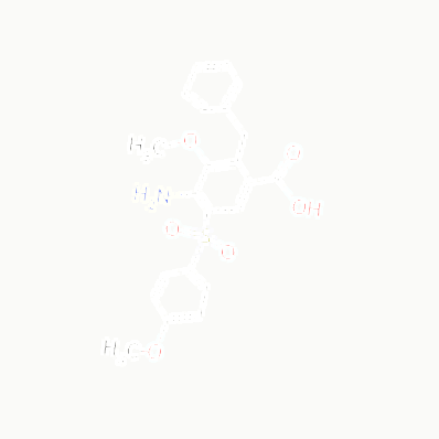 COc1ccc(S(=O)(=O)c2cc(C(=O)O)c(Cc3ccccc3)c(OC)c2N)cc1